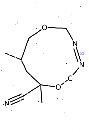 CC1COC/N=N\COC(C)(C#N)C1